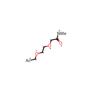 CNC(=O)COCCOCC(C)=O